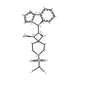 O=S(=O)(C(F)F)N1CCC2(CC1)C[C@H]([C@@H]1c3ccccc3-c3cncn31)[C@@H]2O